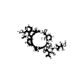 CCn1c(-c2cccnc2[C@H](C)OC)c2c3cc(ccc31)-c1csc(n1)C[C@H](NC(=O)C(C(C)C)N(C)C(=O)N1CC(C(C)(C)OC)C1)C(=O)N1CCC[C@H](N1)C(=O)OCC(C)(C)C2